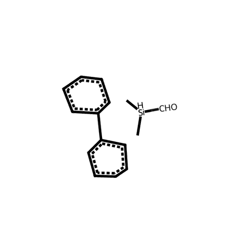 C[SiH](C)C=O.c1ccc(-c2ccccc2)cc1